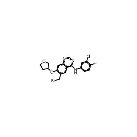 Fc1ccc(Nc2ncnc3cc(OC4CCOC4)c(CBr)cc23)cc1Cl